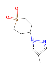 Cc1cnn(C2CCS(=O)(=O)CC2)c1